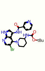 CC(C)(C)OC(=O)NC1CCCN(c2c(Br)cnc3[nH]cc(NC(=O)c4cccnc4)c23)C1